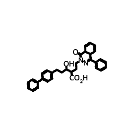 O=C(O)C(CCN1N=C(c2ccccc2)C2C=CC=CC2C1=O)C(O)CCc1ccc(-c2ccccc2)cc1